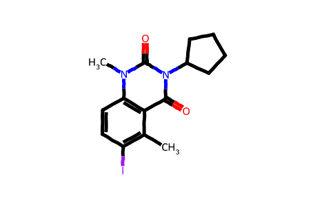 Cc1c(I)ccc2c1c(=O)n(C1CCCC1)c(=O)n2C